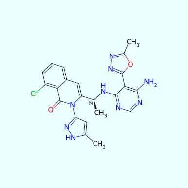 Cc1cc(-n2c([C@H](C)Nc3ncnc(N)c3-c3nnc(C)o3)cc3cccc(Cl)c3c2=O)n[nH]1